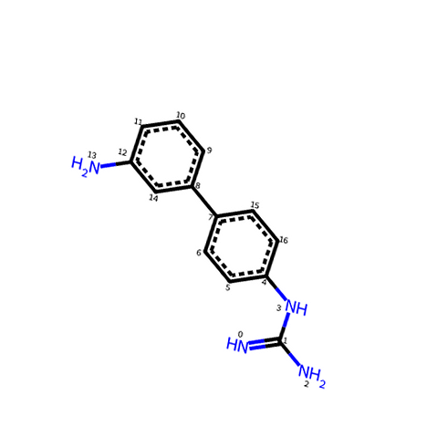 N=C(N)Nc1ccc(-c2cccc(N)c2)cc1